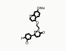 COc1ccc2c(OCCn3nc(-c4ccc(F)c(Cl)c4)ccc3=O)ccnc2c1